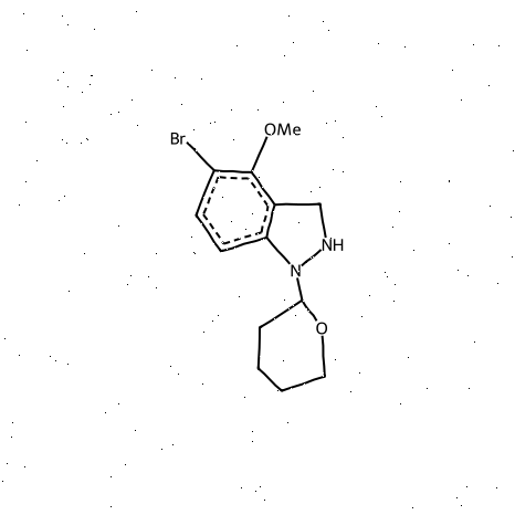 COc1c(Br)ccc2c1CNN2C1CCCCO1